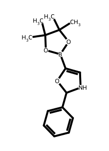 CC1(C)OB(C2=CNC(c3ccccc3)O2)OC1(C)C